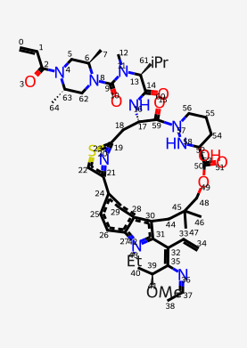 C=CC(=O)N1C[C@@H](C)N(C(=O)N(C)[C@H](C(=O)N[C@H]2Cc3nc(cs3)-c3ccc4c(c3)c(c(/C(C=C)=C(/N=C\C)[C@H](C)OC)n4CC)CC(C)(C)COC(=O)[C@@]3(O)CCCN(N3)C2=O)C(C)C)C[C@@H]1C